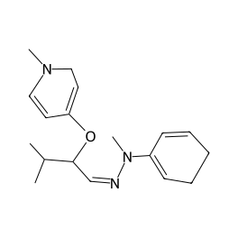 CC(C)C(/C=N\N(C)C1=CCCC=C1)OC1=CCN(C)C=C1